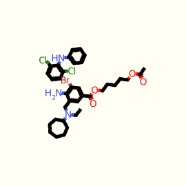 CCN(Cc1cc(C(=O)OCCCCCOC(C)=O)cc(Br)c1N)C1CCCCCC1.Clc1cccc(Cl)c1Nc1ccccc1